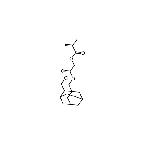 C=C(C)C(=O)OCC(=O)OCC12CC3CC(CC(C3)C1CO)C2